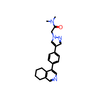 CN(C)C(=O)Cn1cc(-c2ccc(-c3cncc4c3CCCC4)cc2)cn1